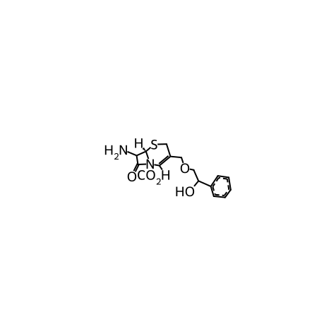 NC1C(=O)N2C(C(=O)O)=C(COCC(O)c3ccccc3)CS[C@@H]12